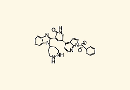 O=c1[nH]cc(-c2ccnc3c2ccn3S(=O)(=O)c2ccccc2)cc1-c1nc2ccccc2n1C1CCNNCC1